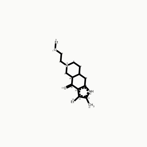 CCOCCN1CCC2Cc3[nH]c(C)c(CC)c3C(=O)C2C1